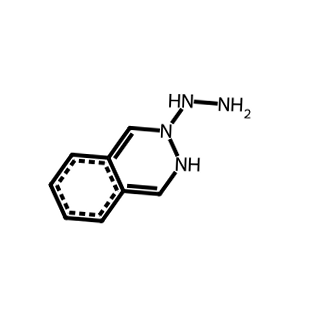 NNN1C=c2ccccc2=CN1